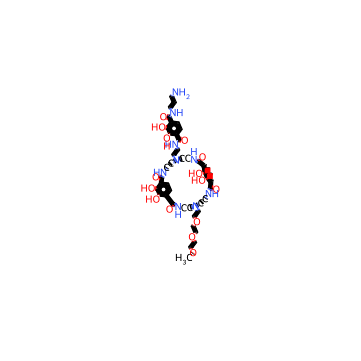 COCCOCCOCCN1CCNC(=O)c2ccc(c(O)c2O)C(=O)NCCN(CCNC(=O)c2ccc(C(=O)NCCCN)c(O)c2O)CCNC(=O)c2ccc(c(O)c2O)C(=O)NCC1